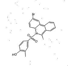 CC1=c2ccccc2=C2C=C(Br)C=CC2N1S(=O)(=O)c1ccc(O)c(C)c1